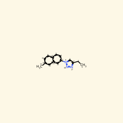 CCc1cn(-c2ccc3ccc(C)cc3c2)nn1